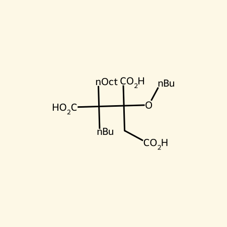 CCCCCCCCC(CCCC)(C(=O)O)C(CC(=O)O)(OCCCC)C(=O)O